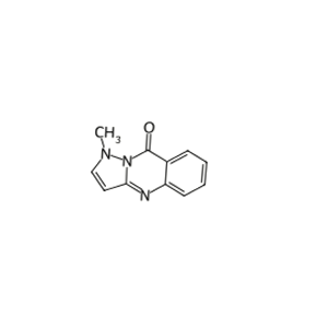 Cn1ccc2nc3ccccc3c(=O)n21